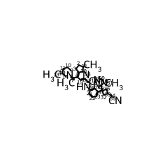 CC1CCc2c(C(C)N3CCC[C@H](C)C3)cc(C(=O)Nc3cccc(C4(c5nncn5C)CC(CC#N)C4)c3)nc21